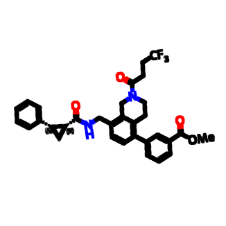 COC(=O)c1cccc(-c2ccc(CNC(=O)[C@@H]3C[C@@H]3c3ccccc3)c3c2CCN(C(=O)CCC(F)(F)F)C3)c1